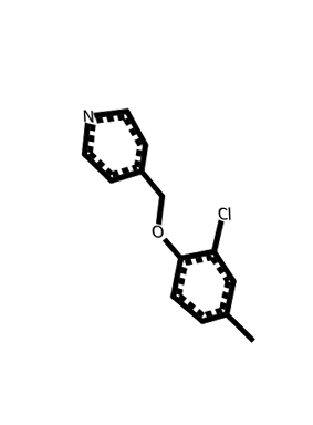 Cc1ccc(OCc2ccncc2)c(Cl)c1